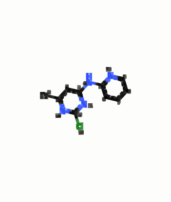 CCc1cc(Nc2ccccn2)nc(Cl)n1